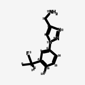 CC(F)(F)c1cc(-n2cc(CN)nn2)ccc1F